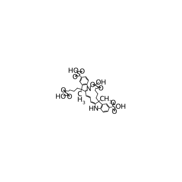 CC1(CCCS(=O)(=O)O)C(/C=C/C=C2/Nc3ccc(S(=O)(=O)O)cc3C2(C)CCCS(=O)(=O)O)=Nc2ccc(S(=O)(=O)O)cc21